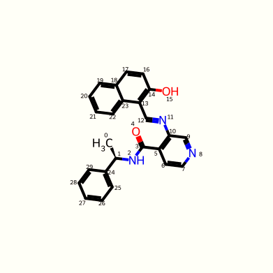 C[C@@H](NC(=O)c1ccncc1/N=C/c1c(O)ccc2ccccc12)c1ccccc1